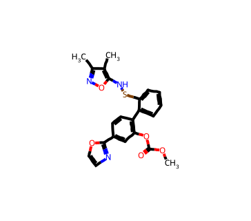 COC(=O)Oc1cc(-c2ncco2)ccc1-c1ccccc1SNc1onc(C)c1C